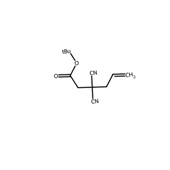 C=CCC(C#N)(C#N)CC(=O)OC(C)(C)C